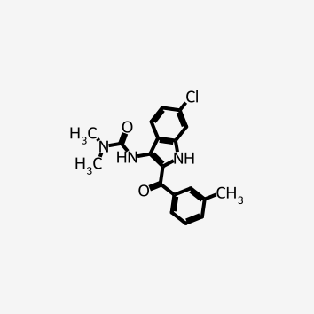 Cc1cccc(C(=O)c2[nH]c3cc(Cl)ccc3c2NC(=O)N(C)C)c1